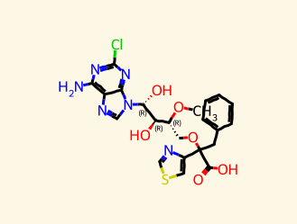 CO[C@H](COC(Cc1ccccc1)(C(=O)O)c1cscn1)[C@@H](O)[C@@H](O)n1cnc2c(N)nc(Cl)nc21